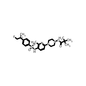 Cc1nc(N2CCN(OC(=O)C(C)(C)C)CC2)ccc1NS(=O)(=O)c1ccc([C@H](C)CF)cc1